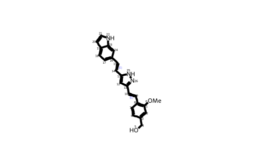 COc1cc(CO)ccc1/C=C/c1cc(/C=C/c2ccc3cc[nH]c3c2)[nH]n1